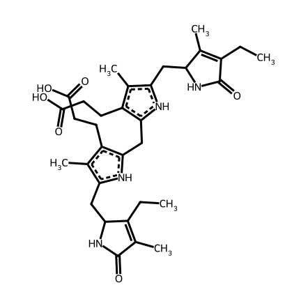 CCC1=C(C)C(Cc2[nH]c(Cc3[nH]c(CC4NC(=O)C(C)=C4CC)c(C)c3CCC(=O)O)c(CCC(=O)O)c2C)NC1=O